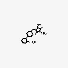 CCCCn1c(C)c(CCC)n(Cc2ccc(-c3ccccc3C(=O)O)cc2)c1=O